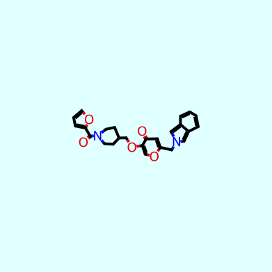 O=C(c1ccco1)N1CCC(COc2coc(Cn3cc4ccccc4c3)cc2=O)CC1